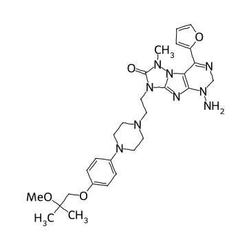 COC(C)(C)COc1ccc(N2CCN(CCn3c(=O)n(C)n4c5c(nc34)N(N)CN=C5c3ccco3)CC2)cc1